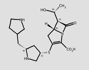 C[C@@H](O)[C@H]1C(=O)N2C(C(=O)O)=C(S[C@@H]3CN[C@H](CC4CCNC4)C3)C[C@H]12